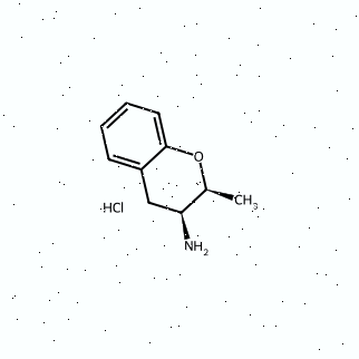 C[C@@H]1Oc2ccccc2C[C@@H]1N.Cl